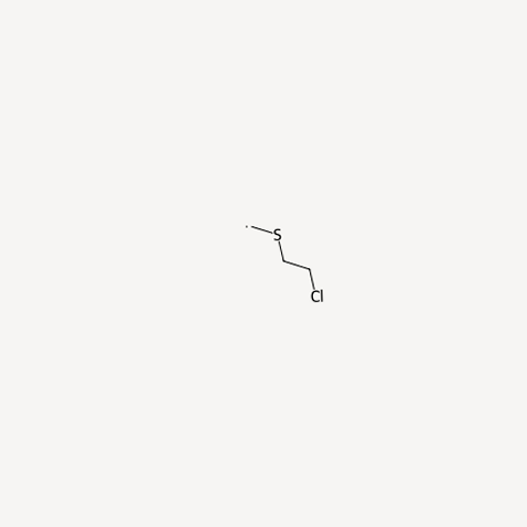 [CH2]SCCCl